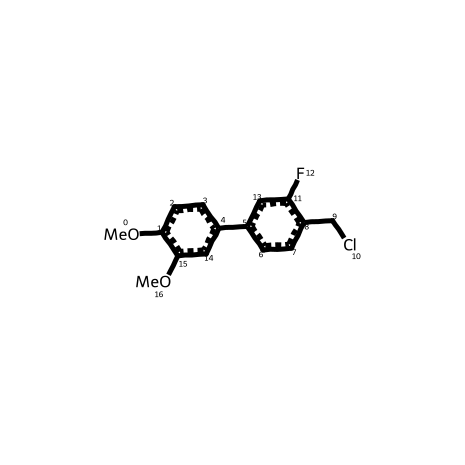 COc1ccc(-c2ccc(CCl)c(F)c2)cc1OC